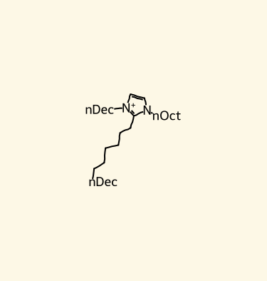 CCCCCCCCCCCCCCCCc1n(CCCCCCCC)cc[n+]1CCCCCCCCCC